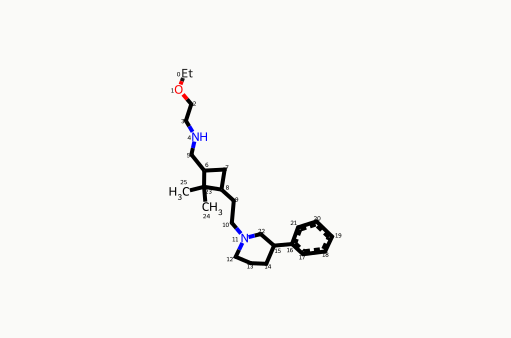 CCOCCNCC1CC(CCN2CCCC(c3ccccc3)C2)C1(C)C